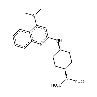 CCCCCCCCN(C(=O)O)[C@H]1CC[C@@H](Nc2cc(N(C)C)c3ccccc3n2)CC1